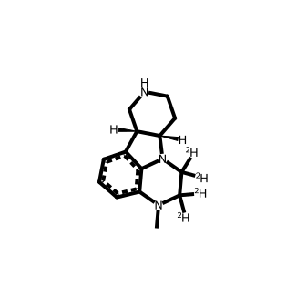 [2H]C1([2H])N(C)c2cccc3c2N([C@H]2CCNC[C@@H]32)C1([2H])[2H]